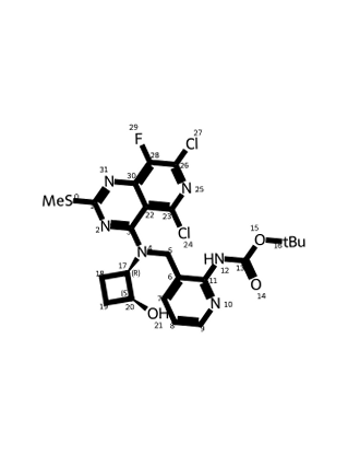 CSc1nc(N(Cc2cccnc2NC(=O)OC(C)(C)C)[C@@H]2CC[C@@H]2O)c2c(Cl)nc(Cl)c(F)c2n1